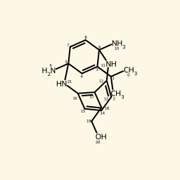 CC(C)C1=CC2(N)C=CC1(N)Nc1cccc(c1CCO)N2